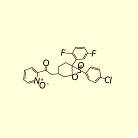 O=C(CC1CCC(c2cc(F)ccc2F)(S(=O)(=O)c2ccc(Cl)cc2)CC1)c1cccc[n+]1[O-]